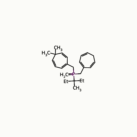 C=P(CC1=CC=CCC=C1)(CC1=CC=CC(C)(C)C=C1)C(C)(CC)CC